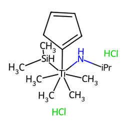 CC(C)[NH][Ti]([CH3])([CH3])([CH3])([CH3])([C]1=CC=CC1)[SiH](C)C.Cl.Cl